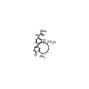 CCOC(=O)[C@H]1CCCC[C@H](N)c2cc(cc[n+]2[O-])-c2ccc(NC(=O)OC)cc2N1